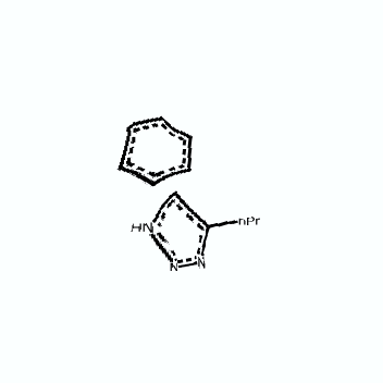 CCCc1c[nH]nn1.c1ccccc1